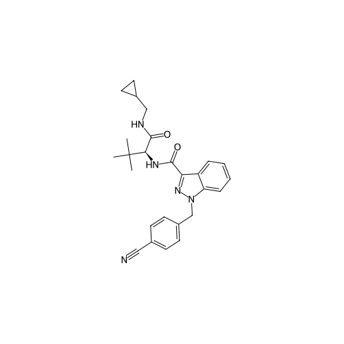 CC(C)(C)[C@H](NC(=O)c1nn(Cc2ccc(C#N)cc2)c2ccccc12)C(=O)NCC1CC1